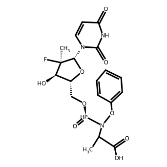 CC(C(=O)O)N(Oc1ccccc1)[P@@H](=O)OC[C@H]1O[C@@H](n2ccc(=O)[nH]c2=O)[C@](C)(F)[C@@H]1O